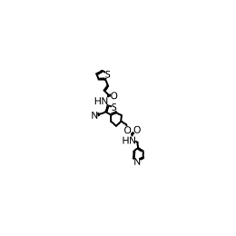 N#Cc1c(NC(=O)C=Cc2cccs2)sc2c1CCC(COC(=O)NCc1ccncc1)C2